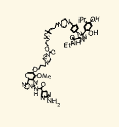 CCNC(=O)c1nnc(-c2cc(C(C)C)c(O)cc2O)n1-c1ccc(CN2CCN(CCCC(C)(C)SSCCOC(=O)N3CCN(CCCOc4ccc5c(c4OC)N=C(NC(=O)c4cnc(N)nc4)N4CCN=C54)CC3)CC2)cc1